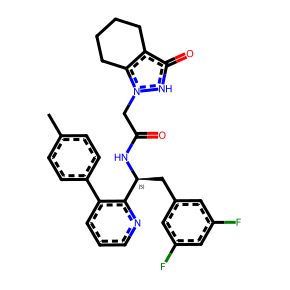 Cc1ccc(-c2cccnc2[C@H](Cc2cc(F)cc(F)c2)NC(=O)Cn2[nH]c(=O)c3c2CCCC3)cc1